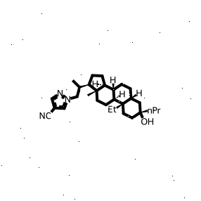 CCC[C@@]1(O)CC[C@@]2(CC)[C@H](CC[C@H]3[C@@H]4CC[C@H](C(C)Cn5cc(C#N)cn5)[C@@]4(C)CC[C@@H]32)C1